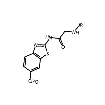 CC(C)NCC(=O)Nc1nc2ccc(C=O)cc2s1